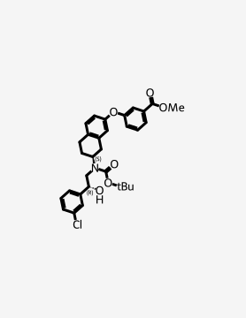 COC(=O)c1cccc(Oc2ccc3c(c2)C[C@@H](N(C[C@H](O)c2cccc(Cl)c2)C(=O)OC(C)(C)C)CC3)c1